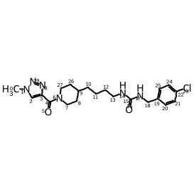 Cn1cc(C(=O)N2CCC(CCCCNC(=O)NCc3ccc(Cl)cc3)CC2)nn1